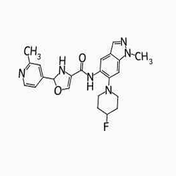 Cc1cc(C2NC(C(=O)Nc3cc4cnn(C)c4cc3N3CCC(F)CC3)=CO2)ccn1